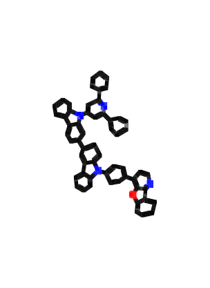 c1ccc(-c2cc(-n3c4ccccc4c4ccc(-c5ccc6c(c5)c5ccccc5n6-c5ccc(-c6ccnc7c6oc6ccccc67)cc5)cc43)cc(-c3ccccc3)n2)cc1